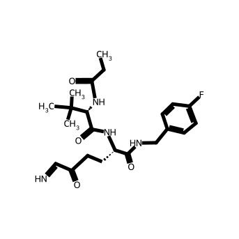 CCC(=O)N[C@H](C(=O)N[C@@H](CCC(=O)C=N)C(=O)NCc1ccc(F)cc1)C(C)(C)C